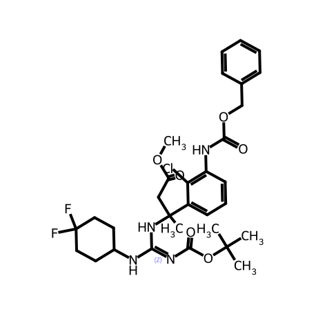 COC(=O)CC(C)(N/C(=N\C(=O)OC(C)(C)C)NC1CCC(F)(F)CC1)c1cccc(NC(=O)OCc2ccccc2)c1Cl